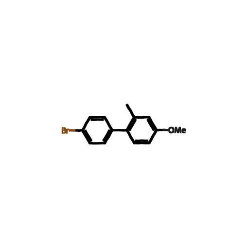 COc1ccc(-c2ccc(Br)cc2)c(C)c1